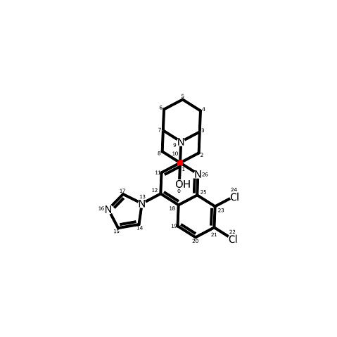 OC1CC2CCCC(C1)N2c1cc(-n2ccnc2)c2ccc(Cl)c(Cl)c2n1